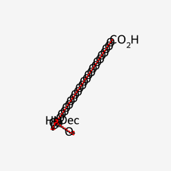 CCCCCCCCCCCC(CCCCCCCCCCCOCc1ccccc1)(C(=O)NCCOCCOCCOCCOCCOCCOCCOCCOCCOCCOCCOCCOCCOCCOCCOCCOCCOCCOCCOCCOCCOCCOCCOCCOCCC(=O)O)C(=O)OCc1ccccc1